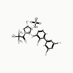 CCS(=O)(=O)N[C@H]1[C@@H](F)CN(C(=O)C(C)(C)O)[C@H]1Cc1cccc(-c2cc(F)cc(F)c2)c1F